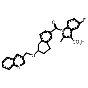 Cc1c(C(=O)O)c2cc(F)ccc2n1C(=O)c1ccc2c(c1)CCC(OCc1cnc3ccccc3c1)C2